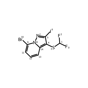 FC(F)Sc1c(I)nn2c(Br)cccc12